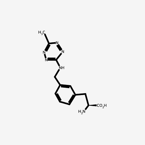 Cc1nnc(NCc2cccc(C[C@H](N)C(=O)O)c2)nn1